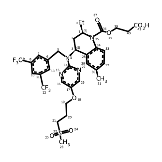 CC[C@@H]1C[C@H](N(Cc2cc(C(F)(F)F)cc(C(F)(F)F)c2)c2ncc(OCCCS(C)(=O)=O)cn2)c2cc(C)ccc2N1C(=O)OCCC(=O)O